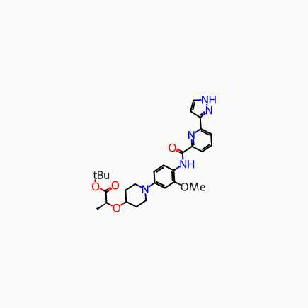 COc1cc(N2CCC(O[C@@H](C)C(=O)OC(C)(C)C)CC2)ccc1NC(=O)c1cccc(-c2cc[nH]n2)n1